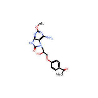 CCCCOc1nc(N)c2c(n1)[nH]c(=O)n2CC(O)COc1ccc(C(=O)OC)cc1